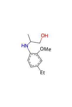 CCc1ccc(NC(C)CO)c(OC)c1